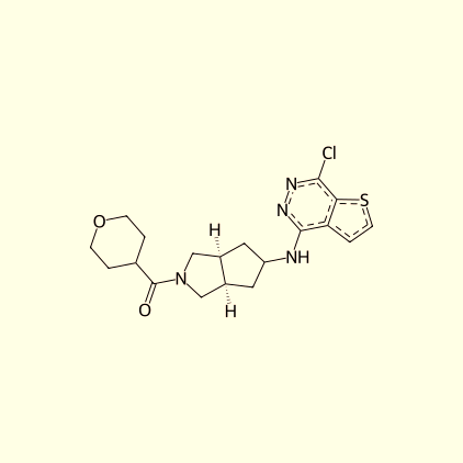 O=C(C1CCOCC1)N1C[C@H]2CC(Nc3nnc(Cl)c4sccc34)C[C@H]2C1